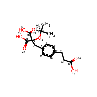 CC(C)(C)OC(Cc1ccc(CCC(=O)O)cc1)(C(=O)O)C(=O)O